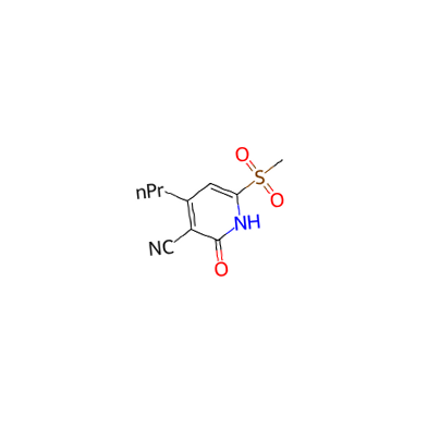 CCCc1cc(S(C)(=O)=O)[nH]c(=O)c1C#N